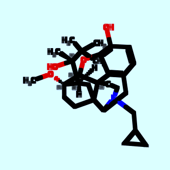 CO[C@@]12CCC3(C[C@@H]1[C@](C)(O)C(C)(C)C)C1Cc4ccc(O)c5c4[C@@]3(CCN1CC1CC1)[C@@H]2O5